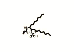 C=CC(=O)NC(CCCCCCCC)C(CCCCCCCC)OS(=O)(=O)O